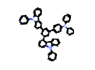 c1ccc(N(c2ccccc2)c2ccc(-c3cc(-c4ccc5c(c4)c4ccccc4n5-c4ccccc4)cc(-c4cccc5c4c4ccccc4n5-c4ccccc4)c3)cc2)cc1